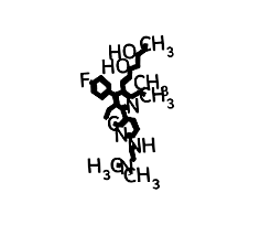 CC[C@H](O)C[C@H](O)/C=C/c1c(C(C)C)nc2c(c1-c1ccc(F)cc1)CCCc1nc(NCCN(C)C)ccc1-2